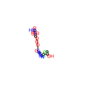 O=C1CCC(N2C(=O)c3ccc(OCCOCCOCC/C=C/C(=O)N4CCN(c5ncnc6c(F)c(-c7cc(O)cc8ccccc78)c(Cl)cc56)CC4)cc3C2=O)C(=O)N1